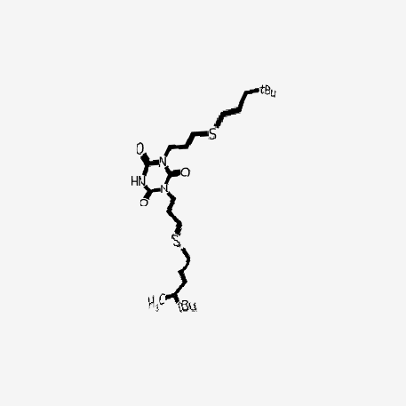 CC(CCCSCCCn1c(=O)[nH]c(=O)n(CCCSCCCC(C)(C)C)c1=O)C(C)(C)C